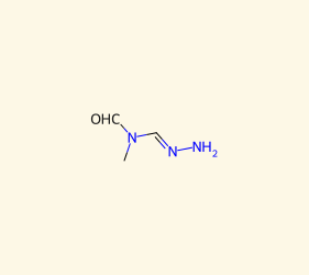 CN(C=O)C=NN